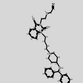 N#CCOCCn1c(=O)c2ccccc2n(CCCCN2CCC(OC(c3ccccc3)c3ccccc3)CC2)c1=O